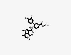 Cc1cn(C)c(=O)c2c(C(=O)N[C@H]3CCN(C(=O)OC(C)(C)C)C[C@@H]3c3ccc(Cl)c(F)c3)cn(C)c12